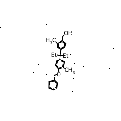 CCC(CC)(c1ccc(CO)c(C)c1)c1ccc(OCc2ccccc2)c(C)c1